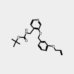 C=CCOc1cccc(COc2cnccc2CNC(=O)OC(C)(C)C)c1